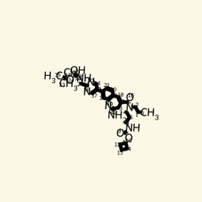 CCCN(CCCNC(=O)OC1CCC1)C(=O)C1=Cc2ccc(-c3cnc(CNC(O)OC(C)(C)C)nc3)cc2N=C(N)C1